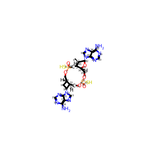 C[C@@H]1[C@@H]2C[P@@](=O)(S)OC[C@H]3C[C@@H](n4cnc5c(N)ncnc54)[C@@H]3CO[P@@](=O)(S)OC[C@H]2O[C@H]1n1cnc2c(N)ncnc21